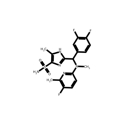 Cc1nc(N(C)C(c2ccc(F)c(F)c2)c2nc(S(N)(=O)=O)c(C)[nH]2)ccc1F